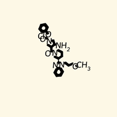 COCCCn1c([C@@H]2CCCN(C(=O)C3CN(C(=O)Oc4ccccc4Cl)CC3N)C2)nc2ccccc21